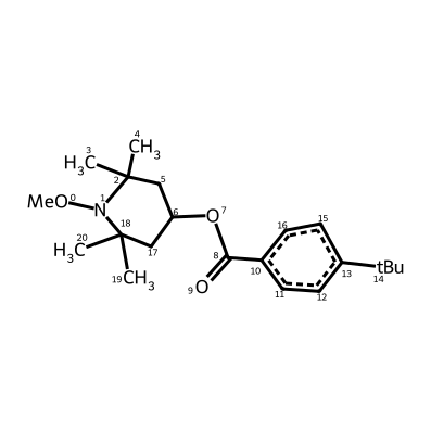 CON1C(C)(C)CC(OC(=O)c2ccc(C(C)(C)C)cc2)CC1(C)C